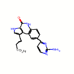 Nc1nccc(-c2ccc3[nH]c(=O)c4[nH]cc(CCC(=O)O)c4c3c2)n1